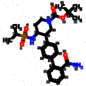 CC(C)S(=O)(=O)NC1CCN(C(=O)OC(C)(C)C)CC1c1ccc(-c2ccccc2C(N)=O)cc1